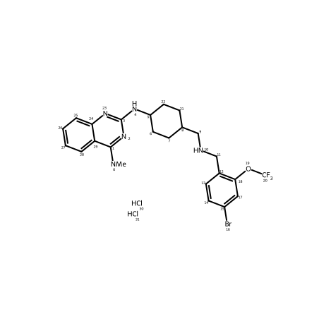 CNc1nc(NC2CCC(CNCc3ccc(Br)cc3OC(F)(F)F)CC2)nc2ccccc12.Cl.Cl